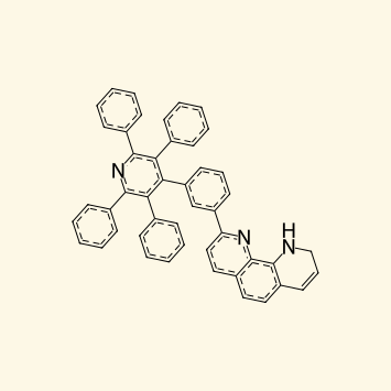 C1=Cc2ccc3ccc(-c4cccc(-c5c(-c6ccccc6)c(-c6ccccc6)nc(-c6ccccc6)c5-c5ccccc5)c4)nc3c2NC1